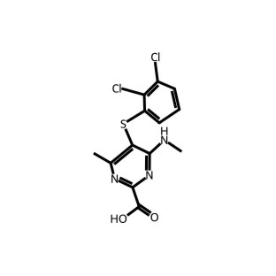 CNc1nc(C(=O)O)nc(C)c1Sc1cccc(Cl)c1Cl